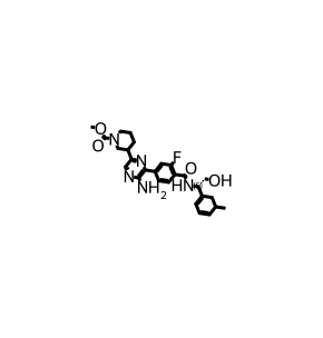 COC(=O)N1CCCC(c2cnc(N)c(-c3ccc(C(=O)N[C@H](CO)C4=CC=CC(C)C4)c(F)c3)n2)C1